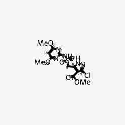 COC(=O)c1c(Cl)n[nH]c1CS(=O)(=O)Nc1nc(OC)cc(OC)n1